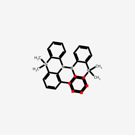 C[Si]1(C)c2ccccc2B(N2c3ccccc3[Si](C)(C)c3cccc(-c4ccccc4)c32)c2ccccc21